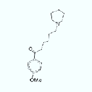 COc1ccc(C(=O)CCCCCN2CCCCC2)cc1